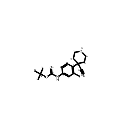 Cc1cc(NC(=O)OC(C)(C)C)ccc1C1(C#N)CCOCC1